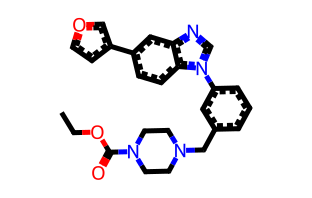 CCOC(=O)N1CCN(Cc2cccc(-n3cnc4cc(-c5ccoc5)ccc43)c2)CC1